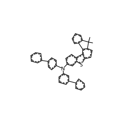 CC1(C)c2ccccc2-c2c1ccc1sc3cc(N(c4ccc(-c5ccccc5)cc4)c4cccc(-c5ccccc5)c4)ccc3c21